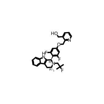 C[C@@H]1Cc2c([nH]c3ccccc23)[C@@H](c2c(F)cc(OCc3ncccc3CO)cc2F)N1CC(C)(C)F